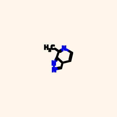 CC1=NC=CC2C=NN=C12